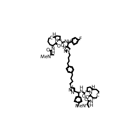 CN[C@@H](C)C(=O)N[C@H]1CCCC[C@H]2CC[C@@H](C(=O)N[C@@H](c3ccc(F)cc3)c3cn(CCCCc4ccc(CCCCn5cc([C@@H](NC(=O)[C@@H]6CC[C@@H]7CCCC[C@H](NC(=O)[C@H](C)NC)C(=O)N76)c6ccc(F)cc6)nn5)cc4)nn3)N2C1=O